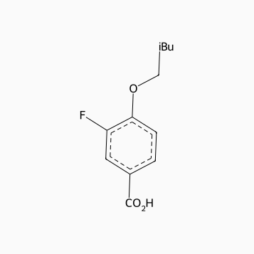 CCC(C)COc1ccc(C(=O)O)cc1F